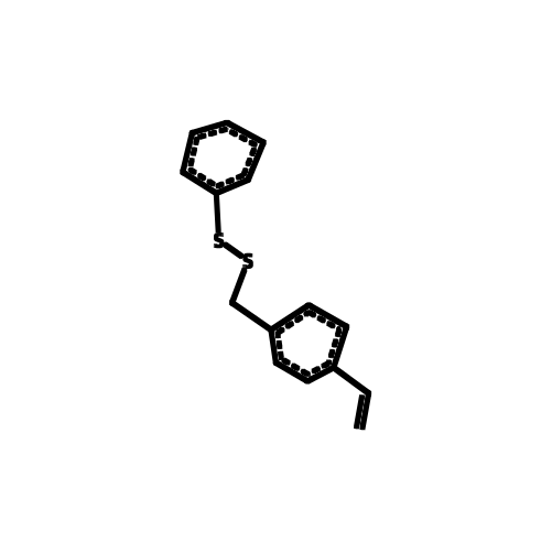 C=Cc1ccc(CSSc2ccccc2)cc1